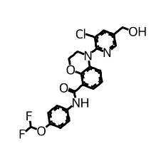 O=C(Nc1ccc(OC(F)F)cc1)c1cccc2c1OCCN2c1ncc(CO)cc1Cl